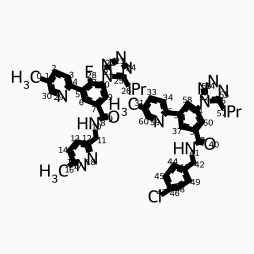 Cc1ccc(-c2cc(C(=O)NCc3ccc(C)nn3)cc(-n3nnnc3C(C)C)c2F)nc1.Cc1ccc(-c2cc(C(=O)NCc3ccc(Cl)cc3)cc(-n3nnnc3C(C)C)c2)nc1